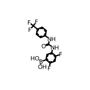 O=C(Nc1ccc(C(F)(F)F)cc1)Nc1cc(B(O)O)c(F)cc1F